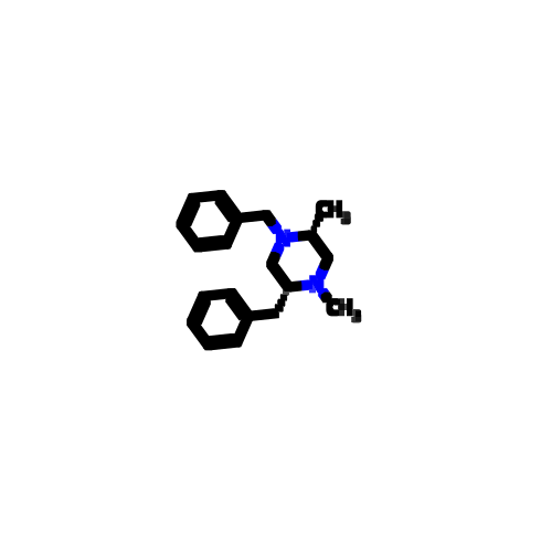 C[C@@H]1CN(C)[C@H](Cc2ccccc2)CN1Cc1ccccc1